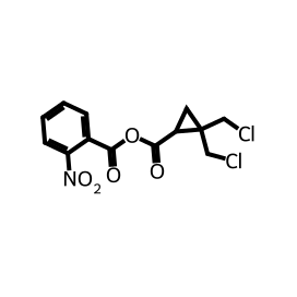 O=C(OC(=O)C1CC1(CCl)CCl)c1ccccc1[N+](=O)[O-]